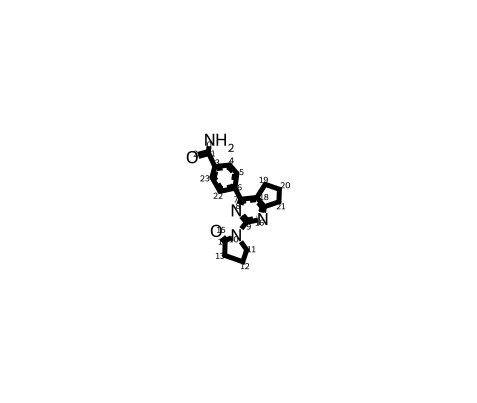 NC(=O)c1ccc(-c2nc(N3CCCC3=O)nc3c2CCC3)cc1